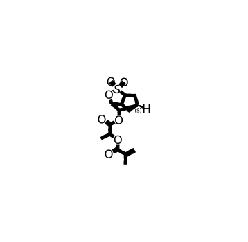 C=C(C)C(=O)OC(C)C(=O)OC1C2OS(=O)(=O)C3C[C@@H]1CC23